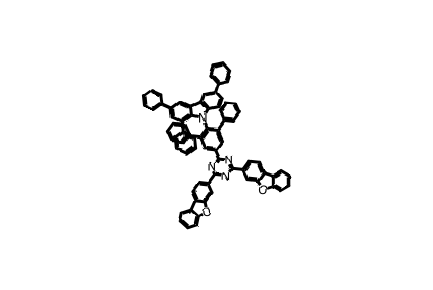 c1ccc(-c2ccc3c(c2)c2cc(-c4ccccc4)cc(-c4ccccc4)c2n3-c2c(-c3ccccc3)cc(-c3nc(-c4ccc5c(c4)oc4ccccc45)nc(-c4ccc5c(c4)oc4ccccc45)n3)cc2-c2ccccc2)cc1